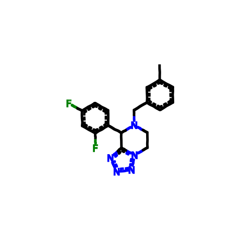 Cc1cccc(CN2CCn3nnnc3C2c2ccc(F)cc2F)c1